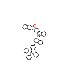 c1ccc(C2(c3ccccc3)c3ccccc3-c3cc(-c4ccc(-n5c6ccccc6c6cc7oc8cc9ccccc9cc8c7cc65)c5ccccc45)ccc32)cc1